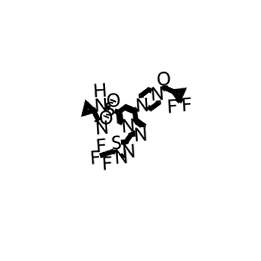 N#CC1(NS(=O)(=O)c2cc(N3CCN(C(=O)C4CC4(F)F)CC3)c3cnc(-c4nnc(C(F)(F)F)s4)n3c2)CC1